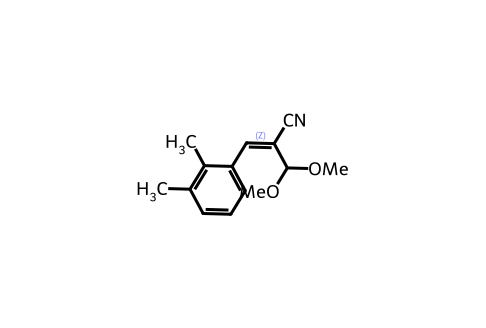 COC(OC)/C(C#N)=C\c1cccc(C)c1C